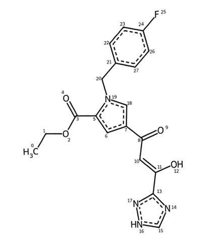 CCOC(=O)c1cc(C(=O)C=C(O)c2nc[nH]n2)cn1Cc1ccc(F)cc1